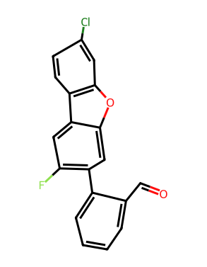 O=Cc1ccccc1-c1cc2oc3cc(Cl)ccc3c2cc1F